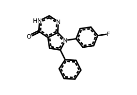 O=c1[nH]cnc2c1cc(-c1ccccc1)n2-c1ccc(F)cc1